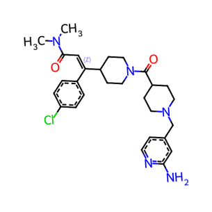 CN(C)C(=O)/C=C(\c1ccc(Cl)cc1)C1CCN(C(=O)C2CCN(Cc3ccnc(N)c3)CC2)CC1